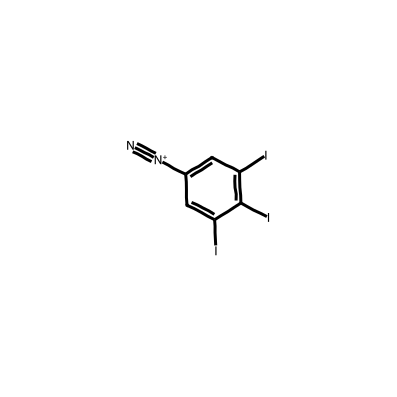 N#[N+]c1cc(I)c(I)c(I)c1